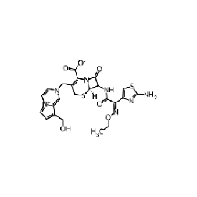 CCO/N=C(\C(=O)N[C@@H]1C(=O)N2C(C(=O)[O-])=C(Cn3cc[n+]4ccc(CO)c-4c3)CS[C@H]12)c1csc(N)n1